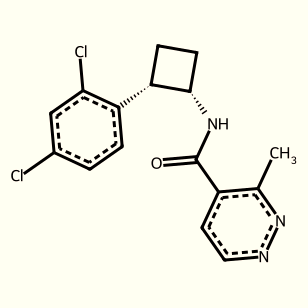 Cc1nnccc1C(=O)N[C@H]1CC[C@H]1c1ccc(Cl)cc1Cl